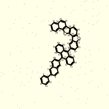 c1ccc(-c2ccc3cc(-c4c5ccccc5c(-c5ccc6oc7ccc8c9ccc%10ccccc%10c9oc8c7c6c5)c5ccccc45)ccc3c2)cc1